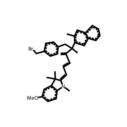 C=C(/C=C/C=C1/N(C)c2ccc(OC)cc2C1(C)C)C(C)(Cc1ccc(CBr)cc1)c1cc2ccccc2cc1C